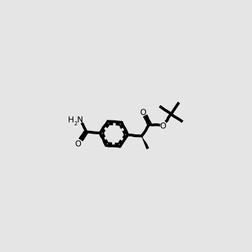 C[C@H](C(=O)OC(C)(C)C)c1ccc(C(N)=O)cc1